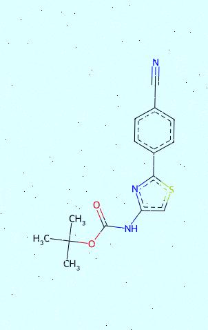 CC(C)(C)OC(=O)Nc1csc(-c2ccc(C#N)cc2)n1